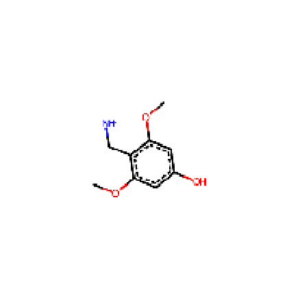 COc1cc(O)cc(OC)c1C[NH]